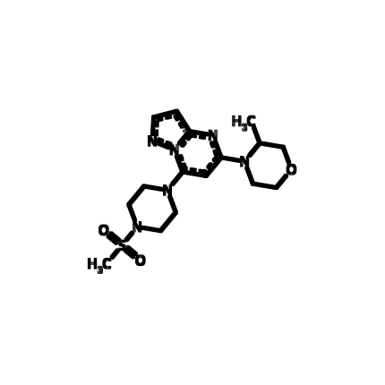 CC1COCCN1c1cc(N2CCN(S(C)(=O)=O)CC2)n2nccc2n1